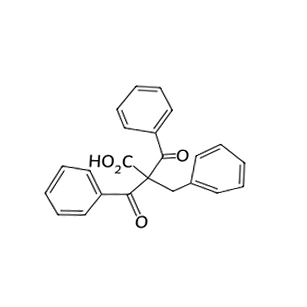 O=C(O)C(Cc1ccccc1)(C(=O)c1ccccc1)C(=O)c1ccccc1